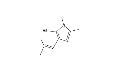 CC(C)=Cc1cc(C)n(C)c1S